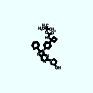 CC(C)(C)OC(=O)NC1(c2ccc(-n3c(-c4ccccn4)nc4cnc(N5CCC(O)C5)nc43)cc2)CCC1